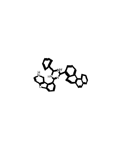 C1=Cc2oc3cccc(C4=NC(c5cccc6c5ccc5ccc7ccccc7c56)NC(c5ccccc5)N4)c3c2CN1